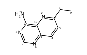 CCc1ccc2ncnc(N)c2n1